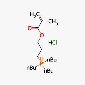 C=C(C)C(=O)OCCC[PH](CCCC)(CCCC)CCCC.Cl